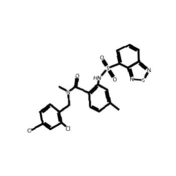 Cc1ccc(C(=O)N(C)Cc2ccc(Cl)cc2Cl)c(NS(=O)(=O)c2cccc3nsnc23)c1